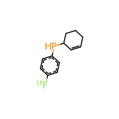 [18F]c1ccc(PC2C=CCCC2)cc1